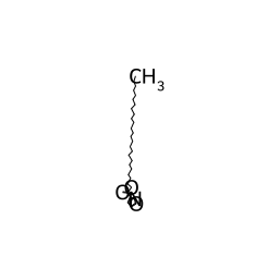 CCCCCCCCCCCCCCCCCCCCCCCCOC(=O)c1ccon1